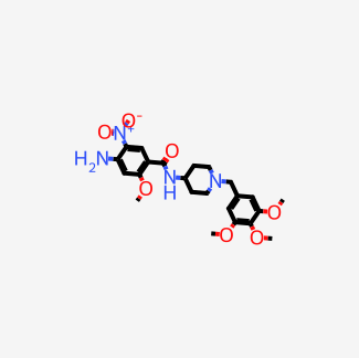 COc1cc(N)c([N+](=O)[O-])cc1C(=O)NC1CCN(Cc2cc(OC)c(OC)c(OC)c2)CC1